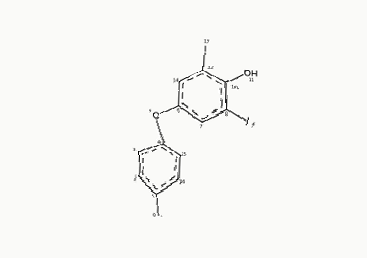 [CH2]c1ccc(Oc2cc(I)c(O)c(I)c2)cc1